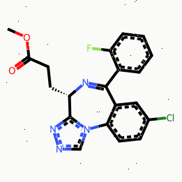 COC(=O)CC[C@@H]1N=C(c2ccccc2F)c2cc(Cl)ccc2-n2cnnc21